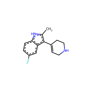 Cc1[nH]c2ccc(F)cc2c1C1=CCNCC1